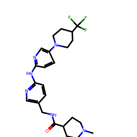 CN1CCC(C(=O)NCc2ccc(Nc3ccc(N4CCC(C(F)(F)F)CC4)cn3)nc2)CC1